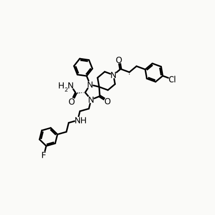 NC(=O)[C@H]1N(CCNCCc2cccc(F)c2)C(=O)C2(CCN(C(=O)[CH]Cc3ccc(Cl)cc3)CC2)N1c1ccccc1